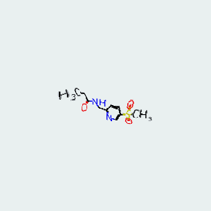 CCC(=O)NCc1ccc(S(C)(=O)=O)cn1